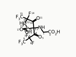 O=C(O)CNC(C(=O)C(F)(F)C(F)(F)F)(C(=O)C(F)(F)C(F)(F)F)P(=O)(O)O